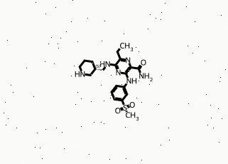 CCc1nc(C(N)=O)c(Nc2cccc(S(C)(=O)=O)c2)nc1NC[C@H]1CCCNC1